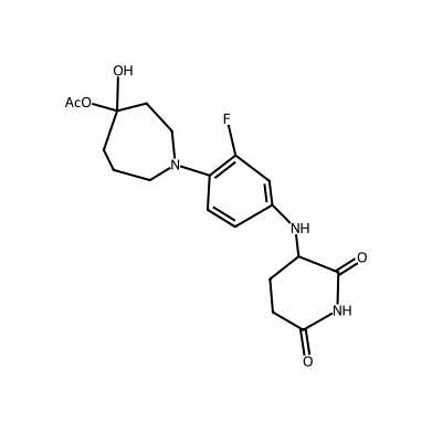 CC(=O)OC1(O)CCCN(c2ccc(NC3CCC(=O)NC3=O)cc2F)CC1